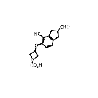 N#Cc1c(OC2CN(C(=O)O)C2)ccc2c1CC(C=O)C2